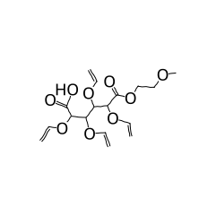 C=COC(C(=O)O)C(OC=C)C(OC=C)C(OC=C)C(=O)OCCOC